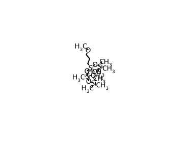 COCCC[Si](C)(O[Si](C)(C)C)O[Si](C)(C)O[Si](C)(C)C